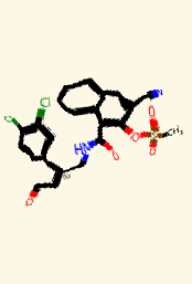 CS(=O)(=O)Oc1c(C#N)cc2ccccc2c1C(=O)NC[C@@H](CC=O)c1ccc(Cl)c(Cl)c1